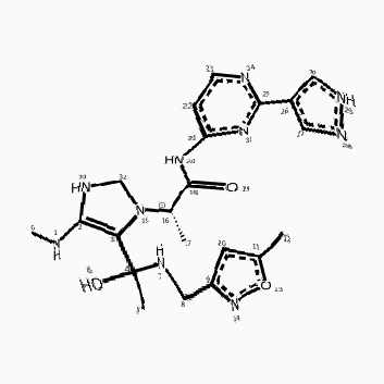 CNC1=C(C(C)(O)NCc2cc(C)on2)N([C@@H](C)C(=O)Nc2ccnc(-c3cn[nH]c3)n2)CN1